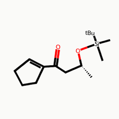 C[C@H](CC(=O)C1=CCCC1)O[Si](C)(C)C(C)(C)C